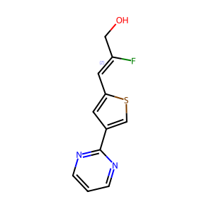 OC/C(F)=C/c1cc(-c2ncccn2)cs1